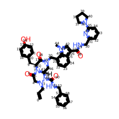 C=CCN1CC(=O)N2[C@@H](Cc3ccc(O)cc3)C(=O)N(Cc3cccc4c(C(=O)NCc5cccc(N6CCCC6)n5)cn(C)c34)C[C@@H]2N1C(=O)NCc1ccccc1